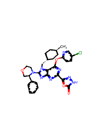 C[C@H]1CC[C@H](Cn2c(N3CCOCC3c3ccccc3)nc3nc(-c4n[nH]c(=O)o4)nc(Oc4ccc(Cl)cn4)c32)CC1